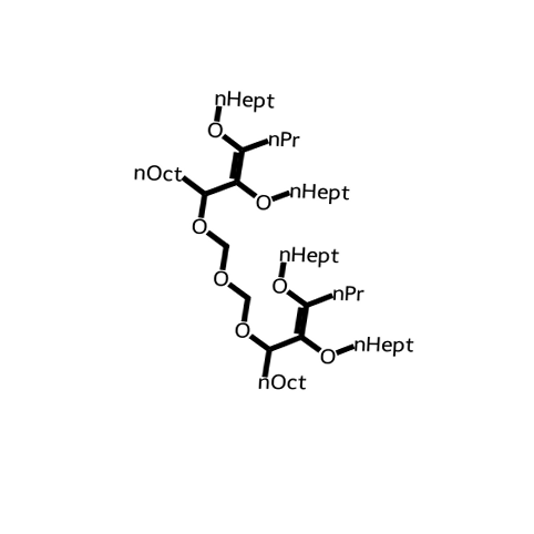 CCCCCCCCC(OCOCOC(CCCCCCCC)C(OCCCCCCC)=C(CCC)OCCCCCCC)C(OCCCCCCC)=C(CCC)OCCCCCCC